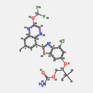 Cc1cc(-c2nc3c(Cl)cc(OC(COC(N)=O)C(C)(C)C)cc3s2)c2ncc(OC(F)F)nc2c1